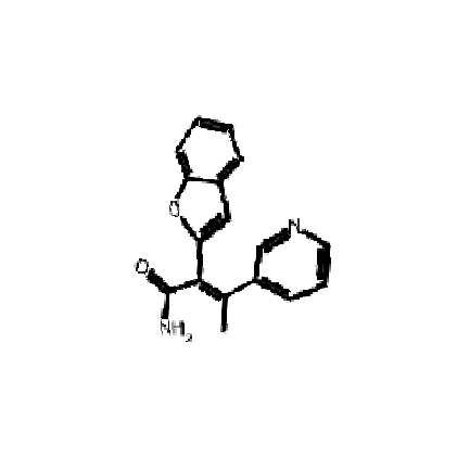 C/C(=C(\C(N)=O)c1cc2ccccc2o1)c1cccnc1